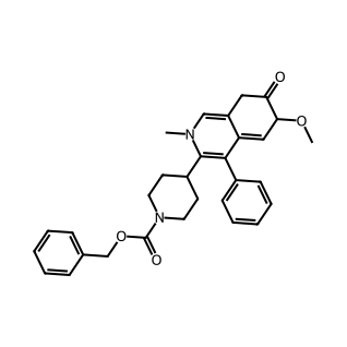 COC1C=C2C(=CN(C)C(C3CCN(C(=O)OCc4ccccc4)CC3)=C2c2ccccc2)CC1=O